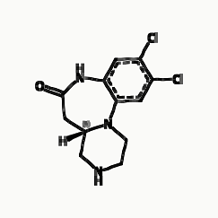 O=C1C[C@H]2CNCCN2c2cc(Cl)c(Cl)cc2N1